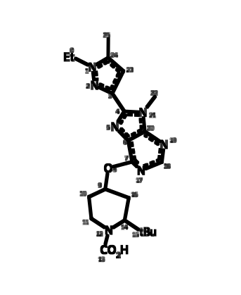 CCn1nc(-c2nc3c(OC4CCN(C(=O)O)C(C(C)(C)C)C4)ncnc3n2C)cc1C